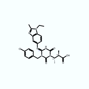 CCn1c(C)nc2cc(/N=c3\[nH]c(=O)n([C@@H](C)[C@@H](C)C(=O)O)c(=O)n3Cc3ccc(Cl)cc3)ccc21